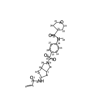 C=CC(=O)NC1CC2CN(S(=O)(=O)c3ccc(N(C)C(=O)C4CCOCC4)cc3)CC2S1